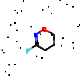 FC1=NOCCC1